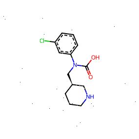 O=C(O)N(C[C@@H]1CCCNC1)c1cccc(Cl)c1